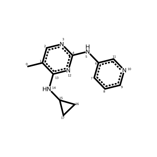 Cc1cnc(Nc2cccnc2)nc1NC1CC1